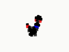 COCC[C@H]1[C@H](Cn2cc(B3OC(C)(C)C(C)(C)O3)cn2)C[C@@H]2C[C@H]1C2(C)C